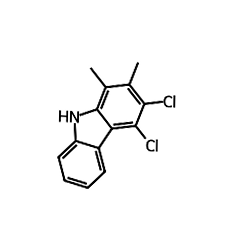 Cc1c(Cl)c(Cl)c2c([nH]c3ccccc32)c1C